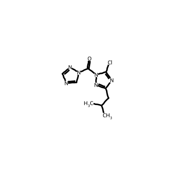 CC(C)Cc1nc(Cl)n(C(=O)n2cncn2)n1